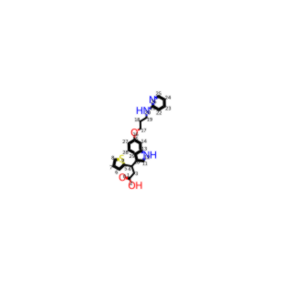 O=C(O)CC(c1cccs1)c1c[nH]c2cc(OCCCNc3ccccn3)ccc12